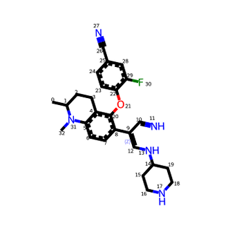 CC1CCc2c(ccc(/C(C=N)=C/NC3CCNCC3)c2Oc2ccc(C#N)cc2F)N1C